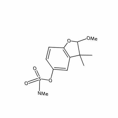 CNS(=O)(=O)Oc1ccc2c(c1)C(C)(C)C(OC)O2